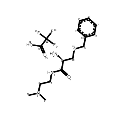 CN(C)CCNC(=O)[C@@H](N)CSCc1ccccc1.O=C(O)C(F)(F)F